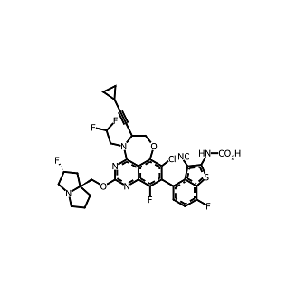 N#Cc1c(NC(=O)O)sc2c(F)ccc(-c3c(Cl)c4c5c(nc(OC[C@@]67CCCN6C[C@H](F)C7)nc5c3F)N(CC(F)F)C(C#CC3CC3)CO4)c12